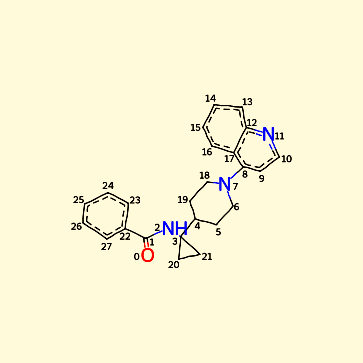 O=C(NC1(C2CCN(c3ccnc4ccccc34)CC2)CC1)c1ccccc1